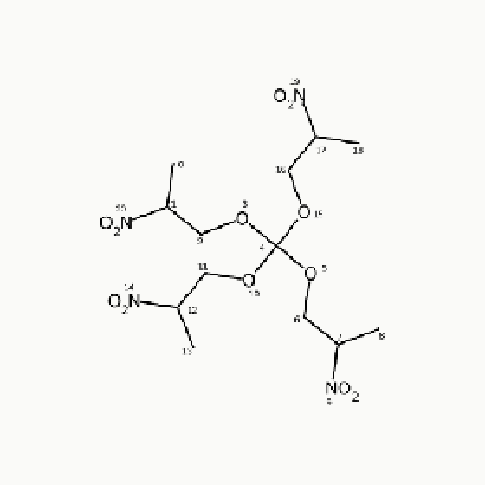 CC(COC(OCC(C)[N+](=O)[O-])(OCC(C)[N+](=O)[O-])OCC(C)[N+](=O)[O-])[N+](=O)[O-]